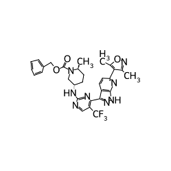 Cc1noc(C)c1-c1ccc2c(-c3nc(N[C@H]4CC[C@H](C)N(C(=O)OCc5ccccc5)C4)ncc3C(F)(F)F)n[nH]c2n1